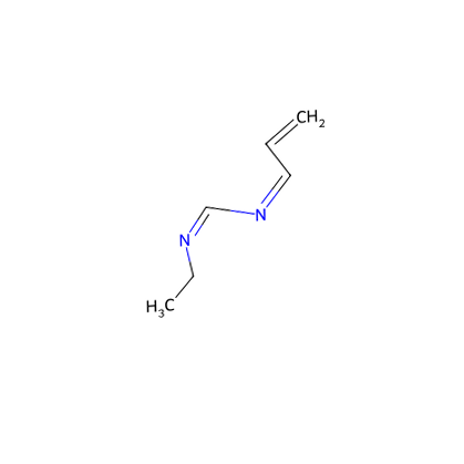 C=C/C=N\C=N/CC